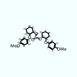 COc1ccc(OC2CCCCC2OS(=O)OC2CCCCC2Oc2ccc(OC)cc2)cc1